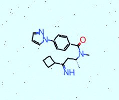 C[C@H](CC(=N)C1CCC1)N(C)C(=O)c1ccc(-n2cccn2)cc1